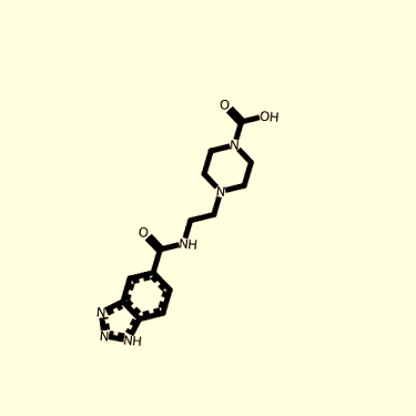 O=C(NCCN1CCN(C(=O)O)CC1)c1ccc2[nH]nnc2c1